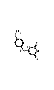 O=c1cc(Nc2ccc(OC(F)(F)F)cc2)[nH]c(=O)[nH]1